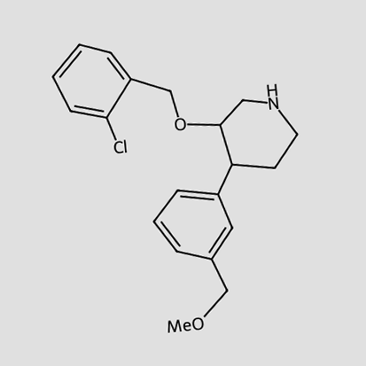 COCc1cccc(C2CCNCC2OCc2ccccc2Cl)c1